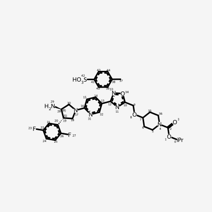 CC(C)OC(=O)N1CCC(OCc2nc(-c3ccc(N4C[C@H](c5cc(F)ccc5F)[C@@H](N)C4)nc3)no2)CC1.Cc1ccc(S(=O)(=O)O)cc1